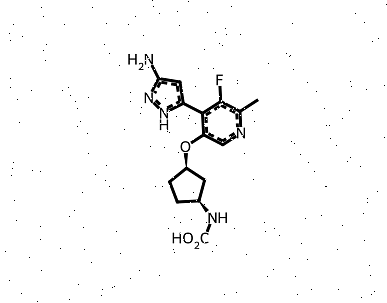 Cc1ncc(O[C@@H]2CC[C@H](NC(=O)O)C2)c(-c2cc(N)n[nH]2)c1F